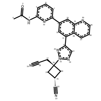 CC(=O)Nc1cccc(-c2cc(-c3cnn([C@]4(CC#N)C[C@H](C#N)C4)n3)c3cccnc3c2)n1